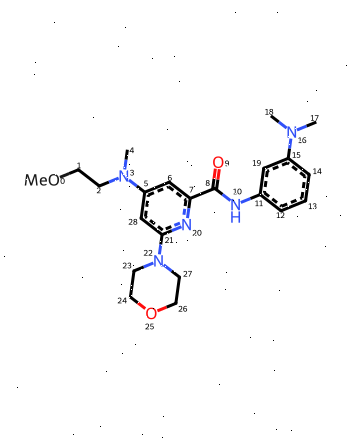 COCCN(C)c1cc(C(=O)Nc2cccc(N(C)C)c2)nc(N2CCOCC2)c1